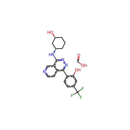 O=CO.Oc1cc(C(F)(F)F)ccc1-c1nnc(N[C@@H]2CCC[C@H](O)C2)c2cnccc12